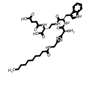 CCCCCCCCCC(=O)NCC1N2C([C@H](N)C(=O)N[C@H](Cc3c[nH]c4ccccc34)C(=O)NCC[C@@H](NC(=O)CCC(=O)O)C(=O)O)N12